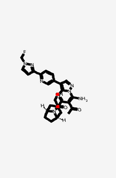 CC(=O)c1c(C2C[C@H]3CC[C@@H](C2)N3C(=O)CO)nc2c(-c3ccc(-c4ccn(CF)n4)nc3)cnn2c1N